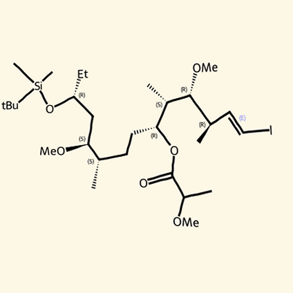 CC[C@H](C[C@H](OC)[C@@H](C)CC[C@@H](OC(=O)C(C)OC)[C@H](C)[C@H](OC)[C@H](C)/C=C/I)O[Si](C)(C)C(C)(C)C